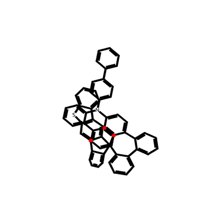 c1ccc(-c2ccc(N(c3ccc4c(c3)C3(c5ccccc5-c5ccccc5-4)c4ccccc4-c4cc5sc6ccccc6c5cc43)c3ccccc3-c3ccccc3)cc2)cc1